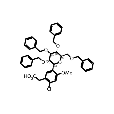 COc1cc(Cl)c(CC(=O)O)cc1[C@@H]1O[C@H](COCc2ccccc2)[C@@H](OCc2ccccc2)[C@H](OCc2ccccc2)[C@H]1OCc1ccccc1